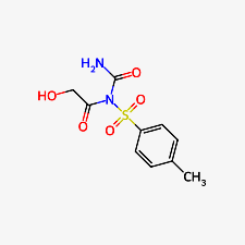 Cc1ccc(S(=O)(=O)N(C(N)=O)C(=O)CO)cc1